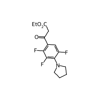 CCOC(=O)CC(=O)c1cc(F)c(N2CCCC2)c(F)c1F